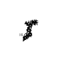 CC1(c2ccc(F)cc2F)Oc2cccc(C3CCN(Cc4ncc(-c5nnc(C(F)(F)F)[nH]5)cc4CC4(C#N)CC4)CC3)c2O1